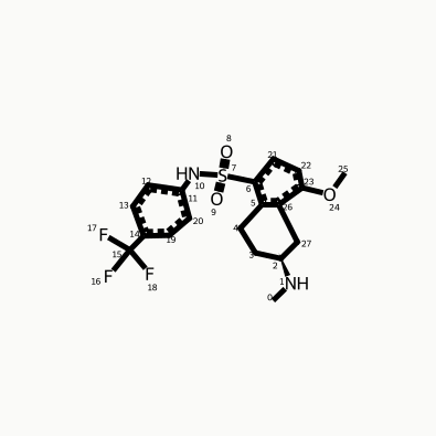 CN[C@H]1CCc2c(S(=O)(=O)Nc3ccc(C(F)(F)F)cc3)ccc(OC)c2C1